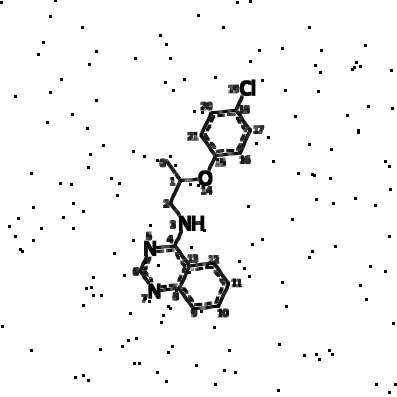 CC(CNc1ncnc2ccccc12)Oc1ccc(Cl)cc1